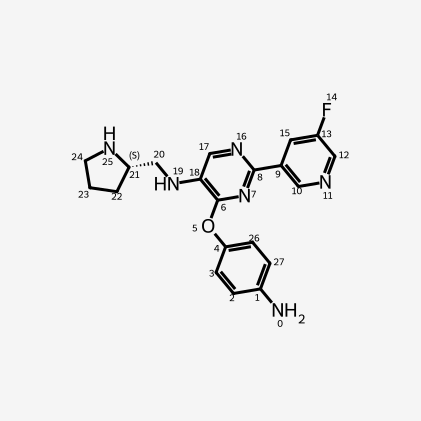 Nc1ccc(Oc2nc(-c3cncc(F)c3)ncc2NC[C@@H]2CCCN2)cc1